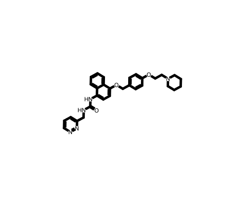 O=C(NCc1cccnn1)Nc1ccc(OCc2ccc(OCCN3CCCCC3)cc2)c2ccccc12